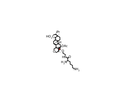 CC(=O)O[C@@H]1C[C@@]23COC[C@@](C)([C@@H]2CC[C@H]2C3=CC[C@@]3(C)[C@H](C(=O)O)[C@@](C)([C@H](C)C(C)C)CC[C@]23C)[C@H]1OCCNC(=O)C(N)CCCCN